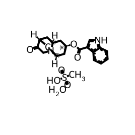 CS(=O)(=O)O.O.O=C(O[C@@H]1C[C@@H]2C[C@@H]3C[C@H](C1)N2CC3=O)c1c[nH]c2ccccc12